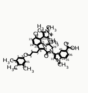 Cc1cc(OCCCc2c3n(c4c(-c5c(C)nn(C)c5C)c(Cl)ccc24)[C@H](C)CN(c2cn(C)c4ccc(C(=O)O)cc24)C3=O)cc(C)c1C